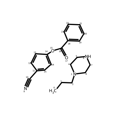 CCCN1CCNCC1.N#Cc1ccc(OC(=O)c2ccccc2)cc1